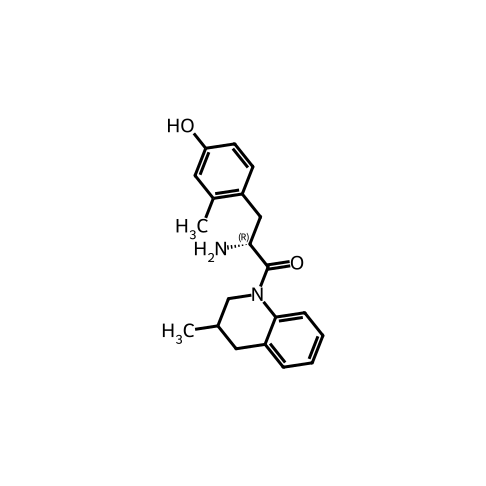 Cc1cc(O)ccc1C[C@@H](N)C(=O)N1CC(C)Cc2ccccc21